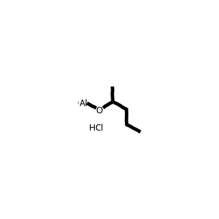 CCCC(C)[O][Al].Cl